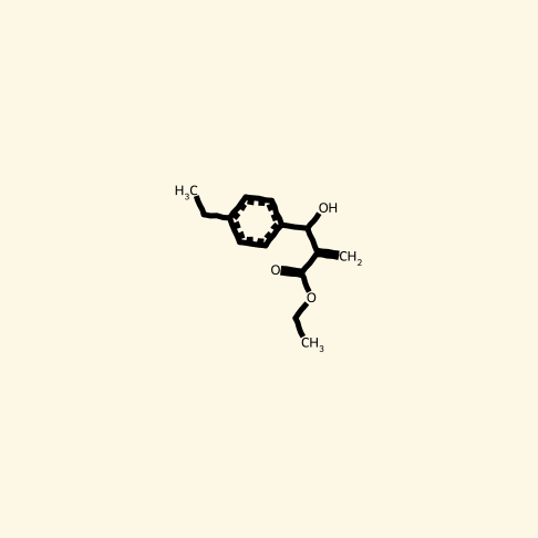 C=C(C(=O)OCC)C(O)c1ccc(CC)cc1